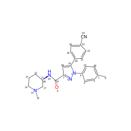 Cc1ccc(-n2nc(C(=O)N[C@@H]3CCCN(C)C3)cc2-c2ccc(C#N)cc2)cc1